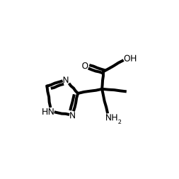 CC(N)(C(=O)O)c1nc[nH]n1